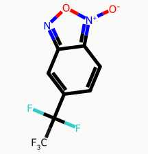 [O-][n+]1onc2cc(C(F)(F)C(F)(F)F)ccc21